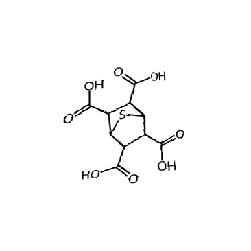 O=C(O)C1C2SC(C1C(=O)O)C(C(=O)O)C2C(=O)O